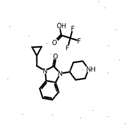 O=C(O)C(F)(F)F.O=c1n(CC2CC2)c2ccccc2n1C1CCNCC1